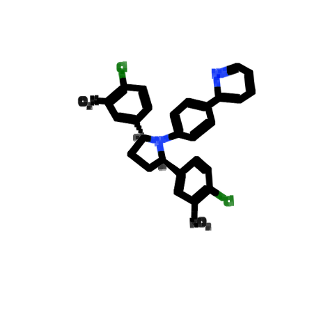 O=[N+]([O-])c1cc([C@H]2CC[C@H](c3ccc(Cl)c([N+](=O)[O-])c3)N2c2ccc(-c3ccccn3)cc2)ccc1Cl